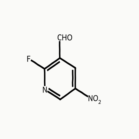 O=Cc1cc([N+](=O)[O-])cnc1F